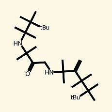 C=C(C(C)(C)NCC(=O)C(C)(C)NC(C)(C)C(C)(C)C(C)(C)C)C(C)(C)C(C)(C)C(C)(C)C